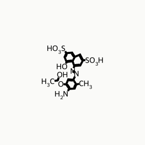 Cc1cc(N)c(OC(C)O)cc1/N=N/c1cc(S(=O)(=O)O)cc2cc(S(=O)(=O)O)cc(O)c12